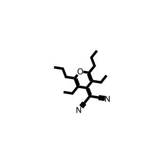 CCCC1=C(CC)C(=C(C#N)C#N)C(CC)=C(CCC)O1